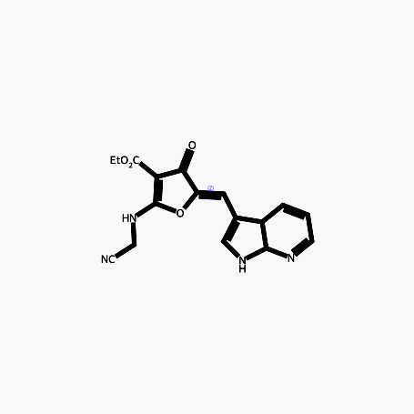 CCOC(=O)C1=C(NCC#N)O/C(=C\C2=CNC3N=CC=CC23)C1=O